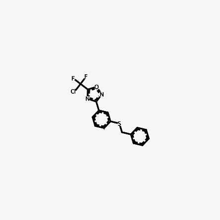 FC(F)(Cl)c1nc(-c2cc[c]c(SCc3ccccc3)c2)no1